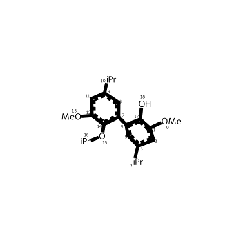 COc1cc(C(C)C)cc(-c2cc(C(C)C)cc(OC)c2OC(C)C)c1O